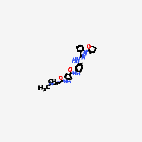 CN(C)C/C=C/C(=O)Nc1ccc(C(=O)Nc2cccc(Nc3nn(C4CCCCO4)c4ccccc34)c2)cc1